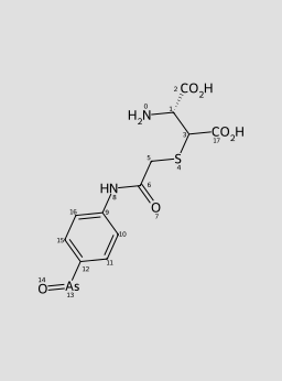 N[C@H](C(=O)O)C(SCC(=O)Nc1ccc([As]=O)cc1)C(=O)O